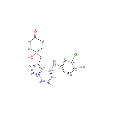 O=C1CCC(O)(Cc2ccn3ncnc(Nc4ccc(F)c(Cl)c4)c23)CC1